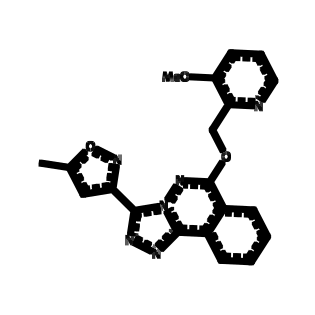 COc1cccnc1COc1nn2c(-c3cc(C)on3)nnc2c2ccccc12